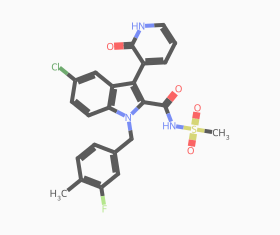 Cc1ccc(Cn2c(C(=O)NS(C)(=O)=O)c(-c3ccc[nH]c3=O)c3cc(Cl)ccc32)cc1F